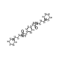 O=C(Cc1ccc(CC(=O)NCCCN2CCCCC2)cc1)NCCCN1CCCCC1